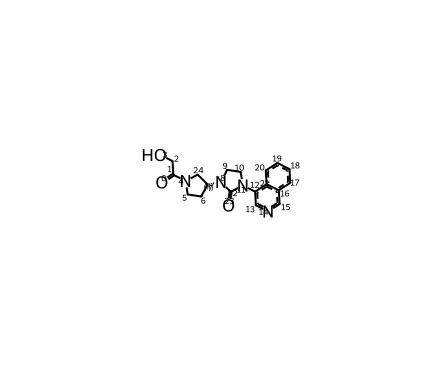 O=C(CO)N1CC[C@@H](N2CCN(c3cncc4ccccc34)C2=O)C1